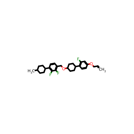 C=CCOc1ccc(C2CCC(OCc3ccc(C4CCC(C)CC4)c(F)c3F)CC2)c(F)c1